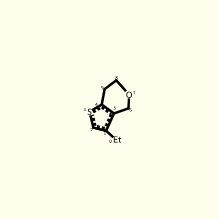 CCc1csc2c1COCC2